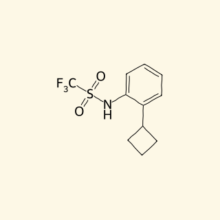 O=S(=O)(Nc1ccccc1C1CCC1)C(F)(F)F